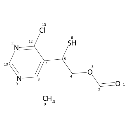 C.O=COCC(S)c1cncnc1Cl